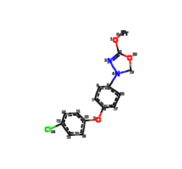 CC(C)OC1=NN(c2ccc(Oc3ccc(Cl)cc3)cc2)CO1